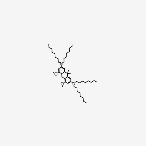 CCCCCCCCN(CCCCCCCC)C1=CC2C(Cc3c(OC)cc(N(CCCCCCCC)CCCCCCCC)cc3C2(C)C)C(OC)=C1